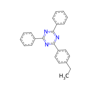 CCc1ccc(-c2nc(-c3ccccc3)nc(-c3ccccc3)n2)cc1